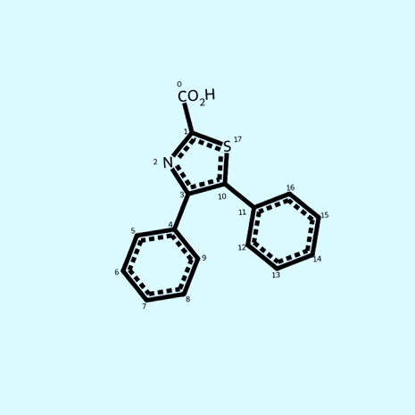 O=C(O)c1nc(-c2ccccc2)c(-c2ccccc2)s1